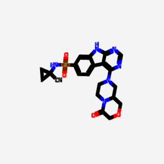 N#CC1(NS(=O)(=O)c2ccc3c(c2)[nH]c2ncnc(N4CCN5C(=O)COCC5C4)c23)CC1